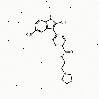 O=C(NCCN1CCCC1)c1ccc(-c2c(O)[nH]c3ccc([N+](=O)[O-])cc23)nc1